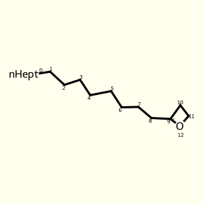 CCCCCCCCCCCCCCC[C]1CCO1